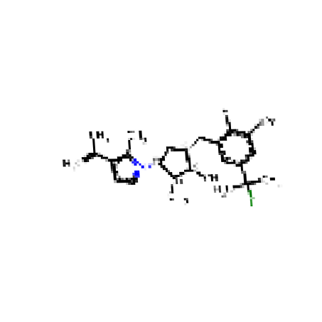 C=C(C)c1ccn([C@@H]2C[C@H](Cc3cc(C(C)(C)F)cc(CCC)c3CC)[C@@H](C)[C@H]2C)c1C